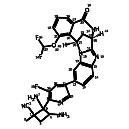 CC1(C#N)CC(N)C1(N)c1ncc(-c2ccc3nc4n(c3c2)[C@@H]2C[C@H]4NC(=O)c3cccc(OC(F)F)c32)cc1F